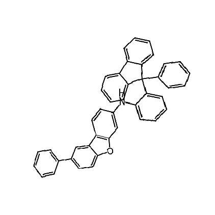 c1ccc(-c2ccc3oc4cc(Nc5ccccc5C5(c6ccccc6)c6ccccc6-c6ccccc65)ccc4c3c2)cc1